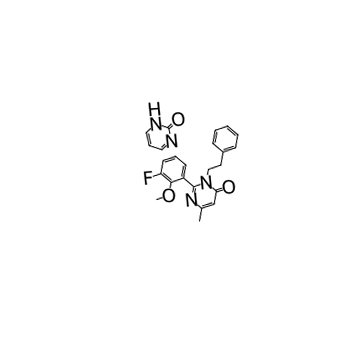 COc1c(F)cccc1-c1nc(C)cc(=O)n1CCc1ccccc1.O=c1nccc[nH]1